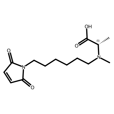 C[C@@H](C(=O)O)N(C)CCCCCCN1C(=O)C=CC1=O